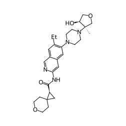 CCc1cc2cnc(NC(=O)[C@H]3CC34CCOCC4)cc2cc1N1CCN([C@]2(C)COC[C@@H]2O)CC1